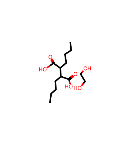 CCCCC(C(=O)O)C(CCCC)C(=O)O.OCCO